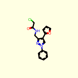 O=C(CCl)NCc1nn(-c2ccccc2)cc1-c1ccco1